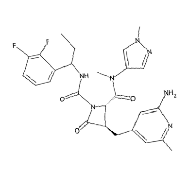 CCC(NC(=O)N1C(=O)[C@H](Cc2cc(C)nc(N)c2)[C@H]1C(=O)N(C)c1cnn(C)c1)c1cccc(F)c1F